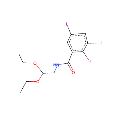 CCOC(CNC(=O)c1cc(I)cc(I)c1I)OCC